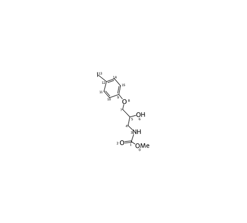 COC(=O)NCC(O)COc1ccc(I)cc1